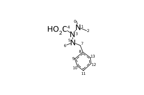 CN(C)N(C(=O)O)N(C)Cc1ccccc1